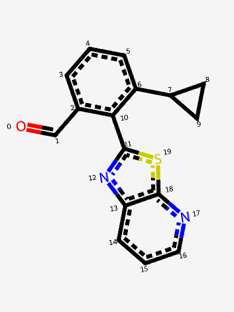 O=Cc1cccc(C2CC2)c1-c1nc2cccnc2s1